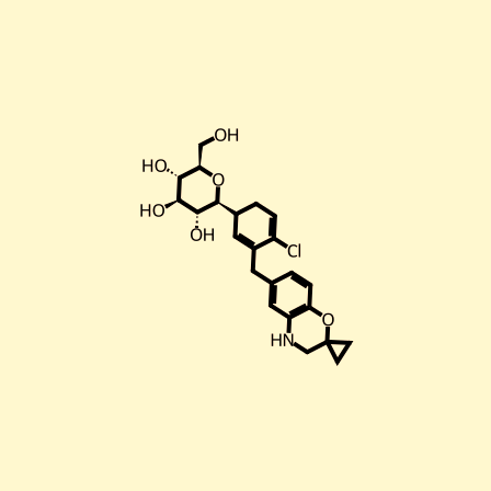 OC[C@H]1O[C@@H](C2C=C(Cc3ccc4c(c3)NCC3(CC3)O4)C(Cl)=CC2)[C@H](O)[C@@H](O)[C@@H]1O